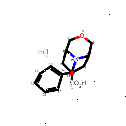 Cl.O=C(O)C1CC2COCC(C1)N2Cc1ccccc1